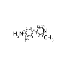 Cc1cc(-c2ccc(N)c(F)c2)ccn1